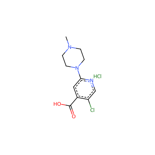 CN1CCN(c2cc(C(=O)O)c(Cl)cn2)CC1.Cl